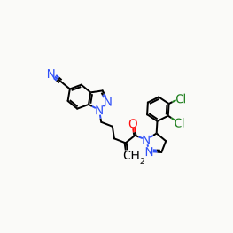 C=C(CCCn1ncc2cc(C#N)ccc21)C(=O)N1N=CCC1c1cccc(Cl)c1Cl